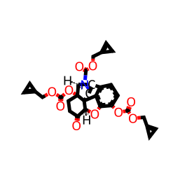 O=C(OCC1=CC1)Oc1ccc2c3c1O[C@H]1C(=O)CCC4(OC(=O)OCC5=CC5)[C@@H](C2)N(C(=O)OCC2=CC2)CCC314